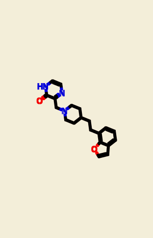 O=c1[nH]ccnc1CN1CCC(CCc2cccc3ccoc23)CC1